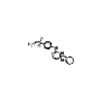 C=CS(=O)(=O)c1ccc(NC2=NC=CC(N)(CC3CCCCC3)N2)cc1